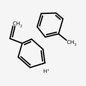 C=Cc1ccccc1.Cc1ccccc1.[H+]